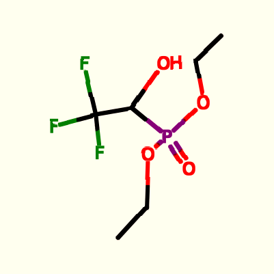 CCOP(=O)(OCC)C(O)C(F)(F)F